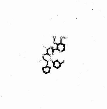 CCOc1c(OC)ccnc1C(=O)N[C@@H](C)C(=O)O[C@@H](C)[C@H](Oc1cccc(F)c1)c1ccccc1